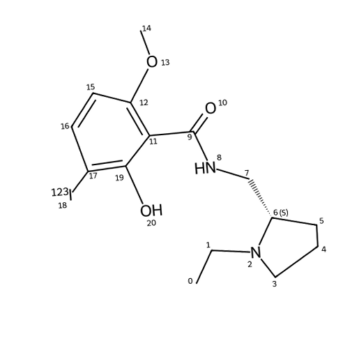 CCN1CCC[C@H]1CNC(=O)c1c(OC)ccc([123I])c1O